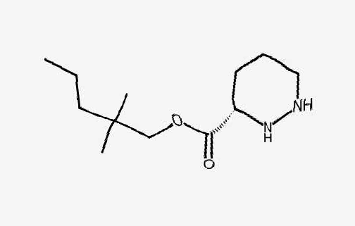 CCCC(C)(C)COC(=O)[C@@H]1CCCNN1